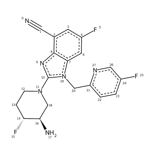 N#Cc1cc(F)cc2c1nc(N1CC[C@@H](F)[C@H](N)C1)n2Cc1ccc(F)cn1